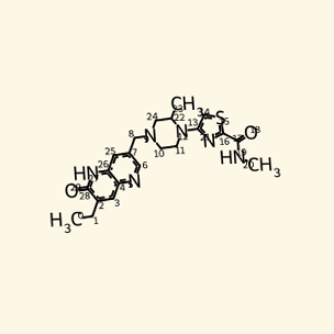 CCc1cc2ncc(CN3CCN(c4csc(C(=O)NC)n4)C(C)C3)cc2[nH]c1=O